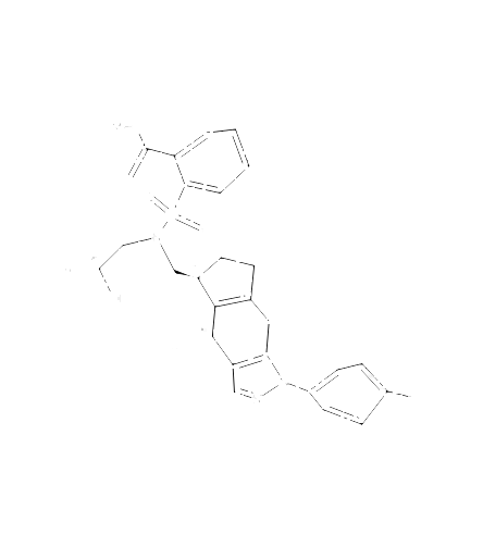 COC(=O)c1ccccc1S(=O)(=O)N(C[C@H]1CCC2=C1[C@@H](C)c1cnn(-c3ccc(F)cc3)c1C2)C[C@@H](C)O